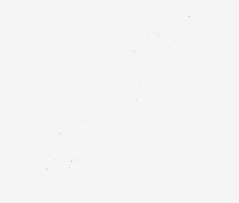 Nc1nnc(-c2cccc(Cl)c2O)cc1-c1cnn(C2CCN(C3CCC(c4cccc5c4OCCN5[C@@H]4CCC(=O)NC4=O)CC3)CC2)c1